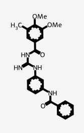 COc1cc(C(=O)NC(=N)Nc2cccc(NC(=O)c3ccccc3)c2)cc(C)c1OC